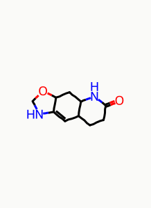 O=C1CCC2C=C3NCOC3CC2N1